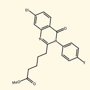 CCc1ccc2c(=O)n(-c3ccc(F)cc3)c(CCCCC(=O)OC)nc2c1